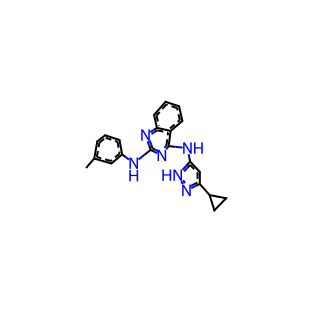 Cc1cccc(Nc2nc(Nc3cc(C4CC4)n[nH]3)c3ccccc3n2)c1